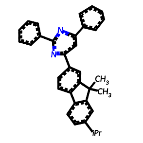 CC(C)c1ccc2c(c1)C(C)(C)c1cc(-c3cc(-c4ccccc4)nc(-c4ccccc4)n3)ccc1-2